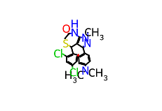 CN(C)c1ccc(-c2nn(C)c3c2C(c2ccc(Cl)cc2Cl)SCC(=O)N3)cc1